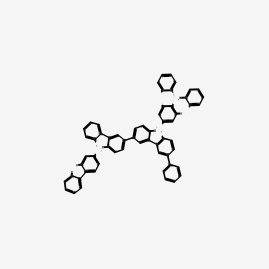 c1ccc(-c2ccc3c(c2)c2cc(-c4ccc5c(c4)c4ccccc4n5-c4ccc5c(c4)oc4ccccc45)ccc2n3-c2cc3c4c(c2)Oc2ccccc2N4c2ccccc2O3)cc1